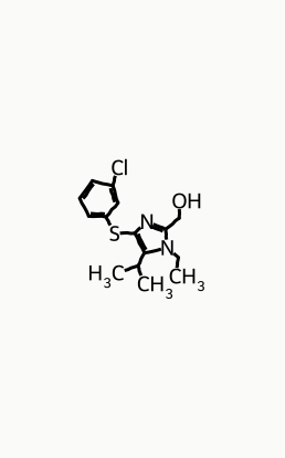 CCn1c(CO)nc(Sc2cccc(Cl)c2)c1C(C)C